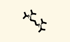 CC(C)N(CCCN(C(C)C)C(C)C)C(C)C